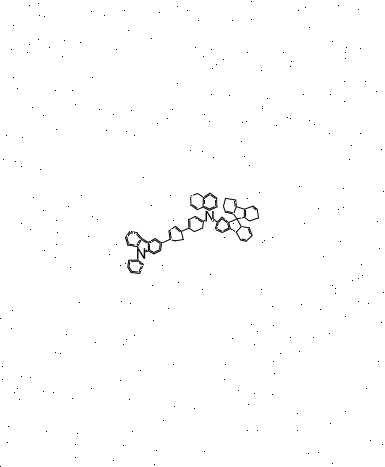 C1=CC2c3ccc(N(C4=CC=C(C5=CC=C(c6ccc7c(c6)c6ccccc6n7-c6ccccc6)CC5)CC4)c4cccc5c4C=CCC5)cc3C3(C4=CCCC=C4C4=C3CCC=C4)C2C=C1